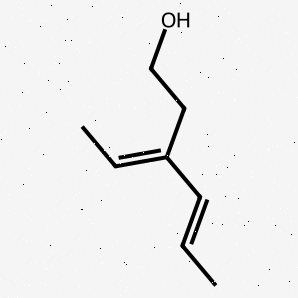 CC=CC(=CC)CCO